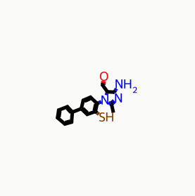 CC1=NC(N)C(C=O)N1c1ccc(-c2ccccc2)cc1S